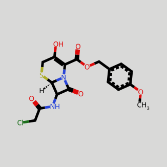 COc1ccc(COC(=O)C2=C(O)CS[C@@H]3C(NC(=O)CCl)C(=O)N23)cc1